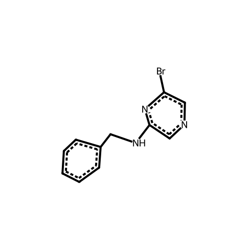 Brc1cncc(NCc2ccccc2)n1